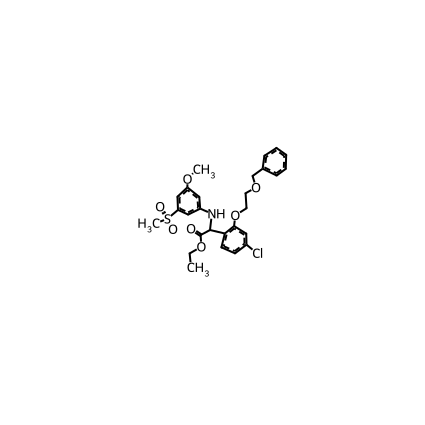 CCOC(=O)C(Nc1cc(OC)cc(S(C)(=O)=O)c1)c1ccc(Cl)cc1OCCOCc1ccccc1